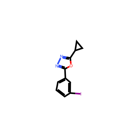 Ic1cccc(-c2nnc(C3CC3)o2)c1